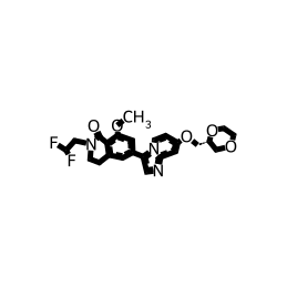 COc1cc(-c2cnc3cc(OC[C@H]4COCCO4)ccn23)cc2c1C(=O)N(CC(F)F)CC2